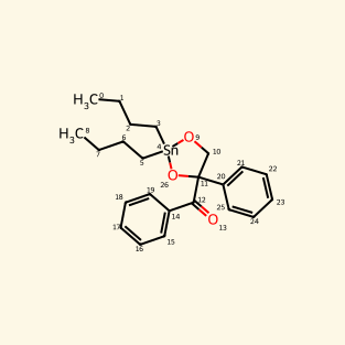 CCC[CH2][Sn]1([CH2]CCC)[O]CC(C(=O)c2ccccc2)(c2ccccc2)[O]1